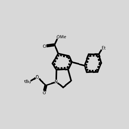 CCc1cccc(-c2cc(C(=O)OC)cc3c2CCN3C(=O)OC(C)(C)C)c1